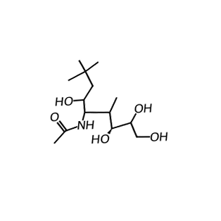 CC(=O)NC(C(O)CC(C)(C)C)C(C)[C@H](O)C(O)CO